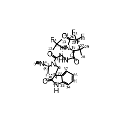 C#[N+][C@@H]1C[C@@]2(CN1C(=O)[C@H](CC(C)(C)F)NC(=O)[C@@H](NC(=O)C(F)(F)F)C(C)(C)C)C(=O)Nc1ccccc12